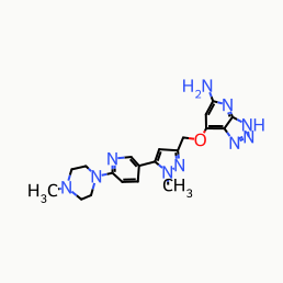 CN1CCN(c2ccc(-c3cc(COc4cc(N)nc5[nH]nnc45)nn3C)cn2)CC1